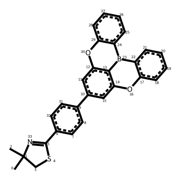 CC1(C)CSC(c2ccc(-c3cc4c5c(c3)Oc3ccccc3B5c3ccccc3O4)cc2)=N1